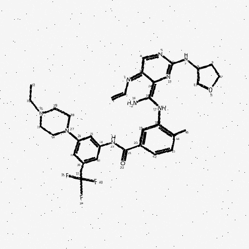 C=C/N=C1/C=NC(NC2CCOC2)=N/C1=C(/N)Nc1cc(C(=O)Nc2cc(N3CCN(CC)CC3)cc(C(F)(F)F)c2)ccc1C